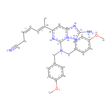 COc1ccc(CN(Cc2ccc(OC)cc2)c2nc(/C(C)=C/C=C\CC#N)cc3nc(N)nn23)cc1